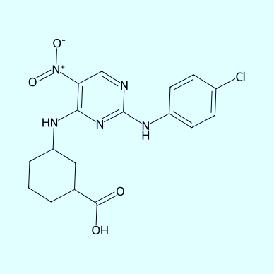 O=C(O)C1CCCC(Nc2nc(Nc3ccc(Cl)cc3)ncc2[N+](=O)[O-])C1